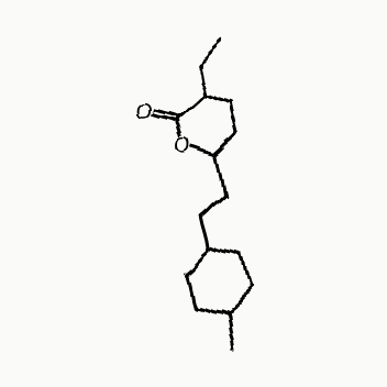 CCC1CCC(CCC2CCC(C)CC2)OC1=O